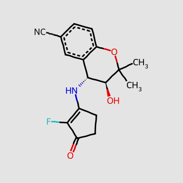 CC1(C)Oc2ccc(C#N)cc2[C@@H](NC2=C(F)C(=O)CC2)[C@@H]1O